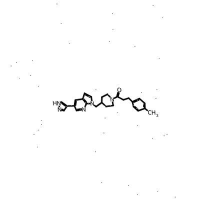 Cc1ccc(CCC(=O)N2CCC(Cn3ccc4cc(-c5cn[nH]c5)cnc43)CC2)cc1